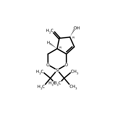 C=C1[C@@H]2CO[Si](C(C)(C)C)(C(C)(C)C)OC2=C[C@H]1O